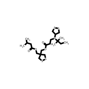 CCC(C)(C)N(CCC(=O)OCC1(COC(=O)CC(C)C)CSSC1)C1CSSC1